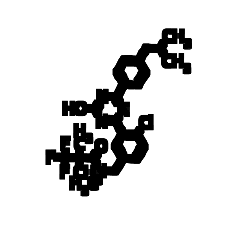 CC(C)Cc1ccc(-c2nc(O)nc(-c3cc(CN(C)C(=O)C(C)(C)C(F)(F)F)ccc3Cl)n2)cc1